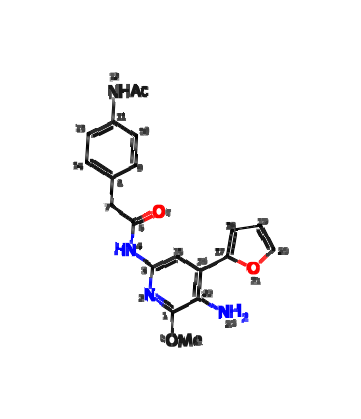 COc1nc(NC(=O)Cc2ccc(NC(C)=O)cc2)cc(-c2ccco2)c1N